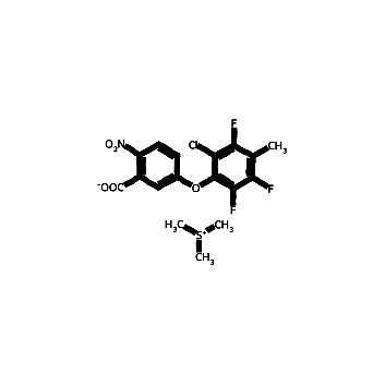 C[S+](C)C.Cc1c(F)c(F)c(Oc2ccc([N+](=O)[O-])c(C(=O)[O-])c2)c(Cl)c1F